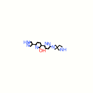 Oc1nc(-c2cn[nH]c2)ccc1-c1ccc(N2CC3(CCNC3)C2)nn1